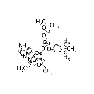 CCC(=O)O[C@H]1[C@@H](OC(=O)CC)[C@](C#N)(c2ccc3c(N)ncnn23)O[C@@H]1COP(=O)(OCOC(=O)OC(C)C)Oc1ccc(C(C)(C)C)cc1